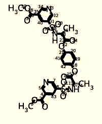 COC(=O)c1cncc(S(=O)(=O)N[C@@H](C)C(=O)Oc2ccc(OC(=O)[C@H](C)NS(=O)(=O)c3cncc(C(=O)OC)c3)cc2)c1